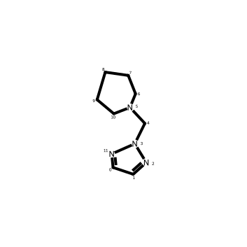 c1cnn(CN2CCCCC2)n1